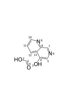 O=CO.Oc1cncc2ncccc12